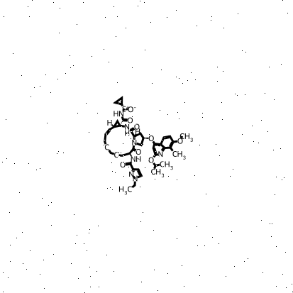 CCn1ccc(C(=O)N[C@H]2CCCCC/C=C\[C@@H]3C[C@@]3(C(=O)N[S+]([O-])C3CC3)NC(=O)[C@@H]3C[C@@H](Oc4cc(OC(C)C)nc5c(C)c(OC)ccc45)CN3C2=O)n1